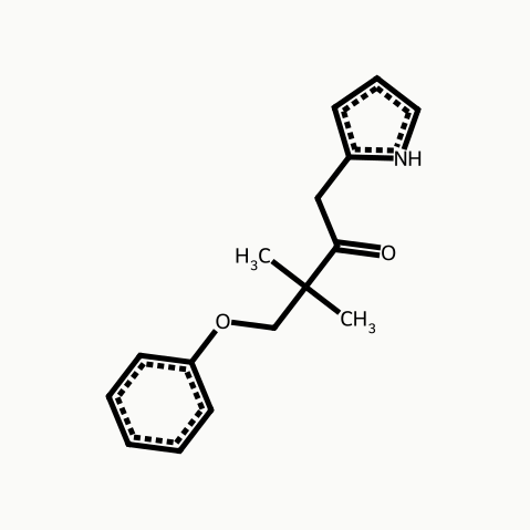 CC(C)(COc1ccccc1)C(=O)Cc1ccc[nH]1